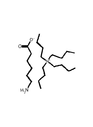 CCCC[N+](CCCC)(CCCC)CCCC.NCCCCCC(=O)[O-]